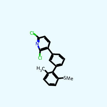 CSc1cccc(C)c1-c1cccc(-c2ccc(Cl)nc2Cl)c1